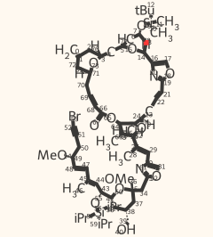 C=C1C[C@@H]2C[C@@H]3C[C@@H](O[Si](C)(C)C(C)(C)C)C[C@@H](O3)c3coc(n3)/C=C/C[C@H]3OC(/C(C)=C/c4coc(C[C@]5(OC)C[C@H](CO)C[C@H]([C@@H](/C=C(C)/C=C/[C@@H](CC#CBr)OC)O[Si](C(C)C)(C(C)C)C(C)C)O5)n4)[C@H](C)[C@@H](OC(=O)/C=C\C[C@@H](C1)O2)[C@H]3C